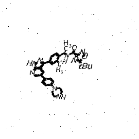 Cc1cc(-c2n[nH]c3ncc(-c4ccc(N5CCNCC5)cc4)cc23)ccc1[C@@H](C)NC(=O)c1noc(C(C)(C)C)n1